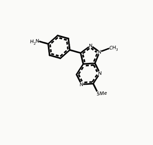 CSc1ncc2c(-c3ccc(N)cc3)nn(C)c2n1